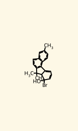 Cc1ccc2c3c(ccc2c1)C(C)(C)C1C3=CC=CC1(O)Br